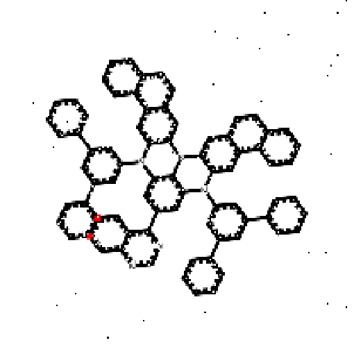 c1ccc(-c2cc(-c3ccccc3)cc(N3c4cc5c(ccc6ccccc65)cc4B4c5cc6ccc7ccccc7c6cc5N(c5cc(-c6ccccc6)cc(-c6ccccc6)c5)c5cc(-c6ncnc7ccccc67)cc3c54)c2)cc1